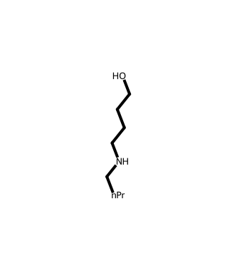 CCCCNCCCCO